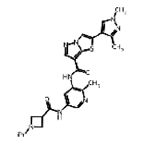 Cc1ncc(NC(=O)C2CN(C(C)C)C2)cc1NC(=O)c1cnn2cc(-c3cn(C)nc3C)sc12